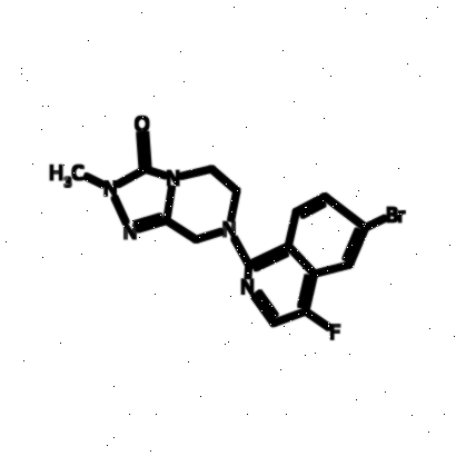 Cn1nc2n(c1=O)CCN(c1ncc(F)c3cc(Br)ccc13)C2